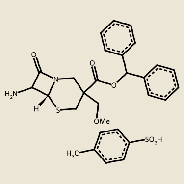 COCC1(C(=O)OC(c2ccccc2)c2ccccc2)CS[C@@H]2C(N)C(=O)N2C1.Cc1ccc(S(=O)(=O)O)cc1